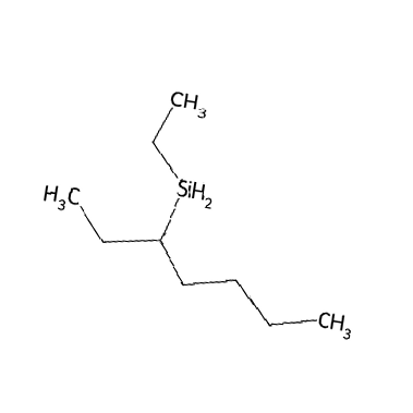 CCCCC(CC)[SiH2]CC